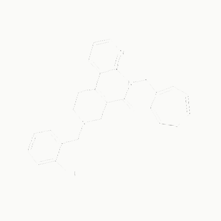 Cc1ccccc1CN1CCc2c(c(=O)n(CC3=CC=CCC=C3)c3ncccc23)C1